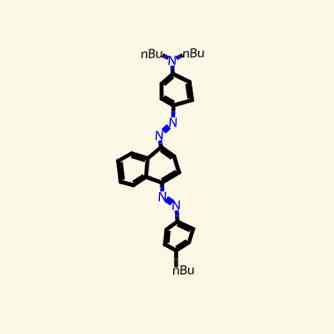 CCCCc1ccc(N=Nc2ccc(N=Nc3ccc(N(CCCC)CCCC)cc3)c3ccccc23)cc1